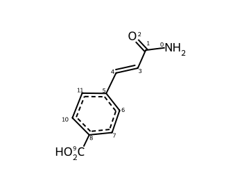 NC(=O)C=Cc1ccc(C(=O)O)cc1